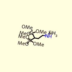 CO[Si](OC)(OC)C(CCN[SiH3])[Si](OC)(OC)OC